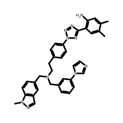 Cc1cc(N)c(-c2nnn(-c3ccc(CCN(Cc4cccc(-n5ccnc5)c4)Cc4ccc5c(cnn5C)c4)cc3)n2)cc1C